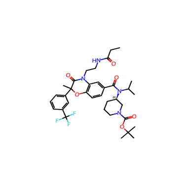 CCC(=O)NCCN1C(=O)C(C)(c2cccc(C(F)(F)F)c2)Oc2ccc(C(=O)N(C(C)C)[C@@H]3CCCN(C(=O)OC(C)(C)C)C3)cc21